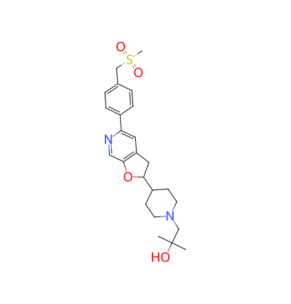 CC(C)(O)CN1CCC(C2Cc3cc(-c4ccc(CS(C)(=O)=O)cc4)ncc3O2)CC1